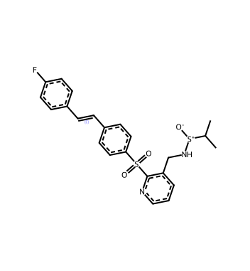 CC(C)[S+]([O-])NCc1cccnc1S(=O)(=O)c1ccc(/C=C/c2ccc(F)cc2)cc1